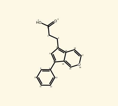 O=C(O)CCc1cc(-c2ccccc2)c2coccc1-2